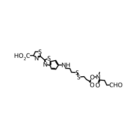 CN(OC(=O)CCSSCCCNc1ccc2nc(C3=NC(C(=O)O)CS3)sc2c1)C(=O)CCC=O